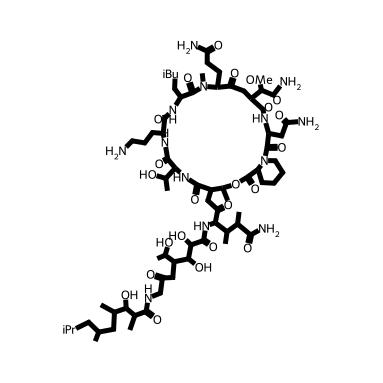 CCC(C)CC1NC(=O)C(CCCN)NC(=O)C(C(C)O)NC(=O)C(CC(=O)C(NC(=O)C(O)C(O)C(CC(=O)CNC(=O)C(C)C(O)C(C)CC(C)CC(C)C)C(C)O)C(C)C(C)C(N)=O)C(C)OC(=O)C2CCCCN2C(=O)C(CC(N)=O)NC(=O)C(C(OC)C(N)=O)CC(=O)C(CCC(N)=O)N(C)C1=O